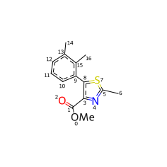 COC(=O)c1nc(C)sc1-c1cccc(C)c1C